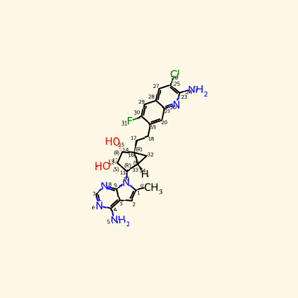 Cc1cc2c(N)ncnc2n1[C@H]1[C@H](O)[C@H](O)[C@]2(CCc3cc4nc(N)c(Cl)cc4cc3F)C[C@H]12